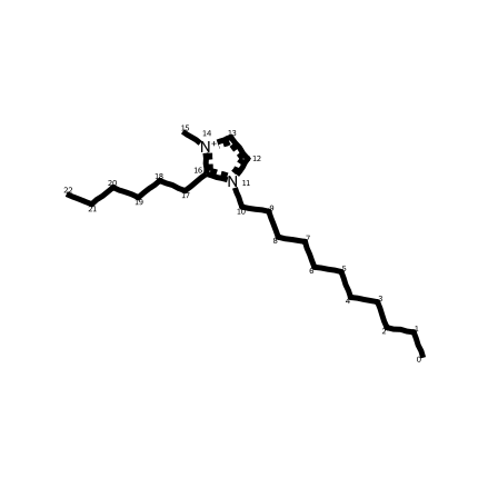 CCCCCCCCCCCn1cc[n+](C)c1CCCCCC